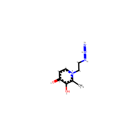 Cc1c(O)c(=O)ccn1CCN=[N+]=[N-]